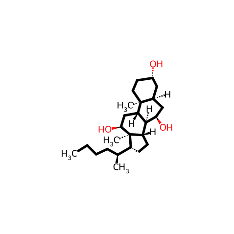 CCCC[C@H](C)[C@H]1CC[C@H]2[C@@H]3[C@H](O)C[C@@H]4C[C@@H](O)CC[C@]4(C)[C@H]3C[C@H](O)[C@]12C